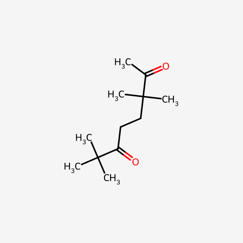 CC(=O)C(C)(C)CCC(=O)C(C)(C)C